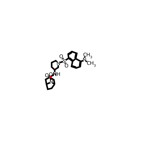 CN(C)c1cccc2c(S(=O)(=O)N3CCCC(NC(=O)N4C5CCC4CC(O)C5)C3)cccc12